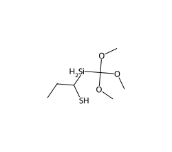 CCC(S)[SiH2]C(OC)(OC)OC